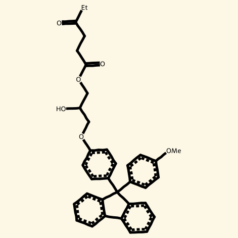 CCC(=O)CCC(=O)OCC(O)COc1ccc(C2(c3ccc(OC)cc3)c3ccccc3-c3ccccc32)cc1